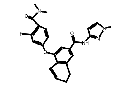 CN(C)C(=O)c1ccc(Oc2cc(C(=O)Nc3ccn(C)n3)cc3c2C=CCC3)cc1F